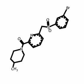 CC1CCN(C(=O)c2cccc(CS(=O)(=O)c3cccc(Br)c3)n2)CC1